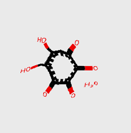 O.O=c1c(O)c(O)c(=O)c(=O)c1=O